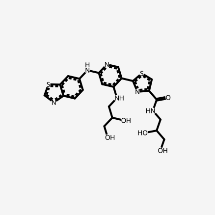 O=C(NCC(O)CO)c1csc(-c2cnc(Nc3ccc4ncsc4c3)cc2NCC(O)CO)n1